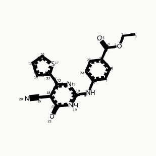 CCOC(=O)c1ccc(Nc2nc(-c3cccs3)c(C#N)c(=O)[nH]2)cc1